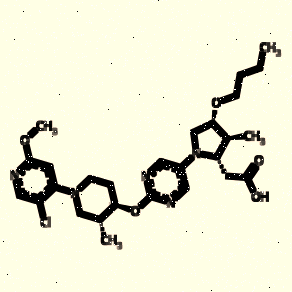 CCCCO[C@H]1CN(c2cnc(O[C@@H]3CCN(c4cc(OC)ncc4Cl)C[C@H]3C)nc2)[C@@H](CC(=O)O)[C@@H]1C